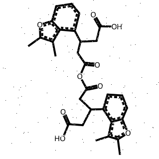 Cc1oc2cccc(C(CC(=O)O)CC(=O)OC(=O)CC(CC(=O)O)c3cccc4oc(C)c(C)c34)c2c1C